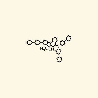 CC1(C)c2cc(-c3ccc(-c4ccccc4)cc3)ccc2-c2c1cc(N(c1ccc(-c3ccccc3)cc1)c1ccc(-c3ccccc3)cc1)c1ccccc21